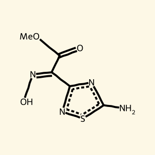 COC(=O)/C(=N/O)c1nsc(N)n1